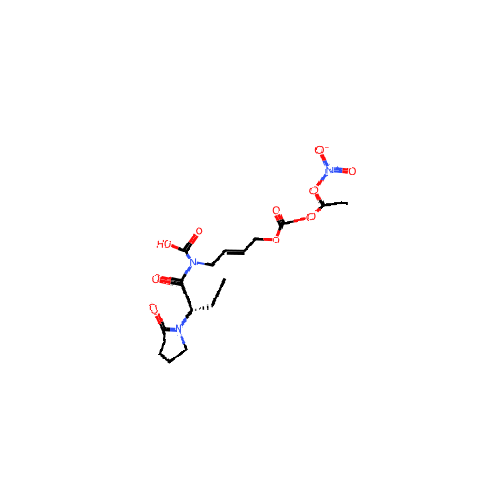 CC[C@@H](C(=O)N(CC=CCOC(=O)OC(C)O[N+](=O)[O-])C(=O)O)N1CCCC1=O